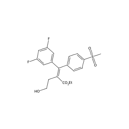 CCOC(=O)/C(CCO)=C(\c1ccc(S(C)(=O)=O)cc1)c1cc(F)cc(F)c1